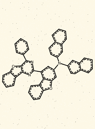 c1ccc(-c2nc(-c3cc(N(c4ccc5ccccc5c4)c4ccc5ccccc5c4)cc4oc5ccccc5c34)nc3c2oc2ccccc23)cc1